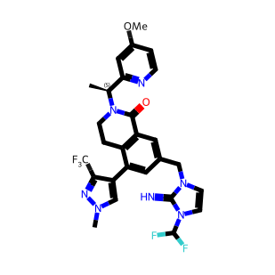 COc1ccnc([C@H](C)N2CCc3c(cc(Cn4ccn(C(F)F)c4=N)cc3-c3cn(C)nc3C(F)(F)F)C2=O)c1